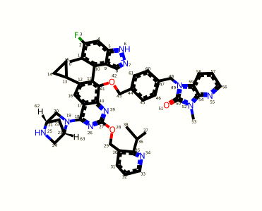 Cc1c(F)cc2[nH]ncc2c1-c1c(C2CC2)cc2c(N3C[C@@H]4C[C@H]3CN4)nc(OCc3cccnc3C(C)C)nc2c1OCc1ccc(Cn2c(=O)n(C)c3ncccc32)cc1